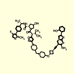 CC(C)[C@@H](C(=O)N1C[C@H](O)C[C@H]1C(=O)N[C@@H](C)c1ccc(-c2c(F)cnn2C)cc1)c1cc(N2CCC(CN3CCC(O[C@H]4C[C@H](C#Cc5cn6cc(-c7ccccc7O)nc6nc5N)C4)CC3)CC2)no1